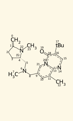 C=C1CC[C@@H](CN(C)Cc2cc(C)c3ncc(C(C)(C)C)c(=O)n3c2)N1C